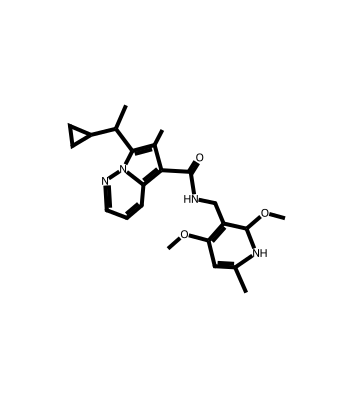 COC1=C(CNC(=O)c2c(C)c(C(C)C3CC3)n3ncccc23)C(OC)NC(C)=C1